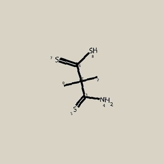 CC(C)(C(N)=S)C(=S)S